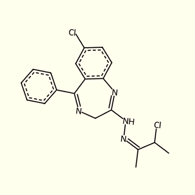 CC(=NNC1=Nc2ccc(Cl)cc2C(c2ccccc2)=NC1)C(C)Cl